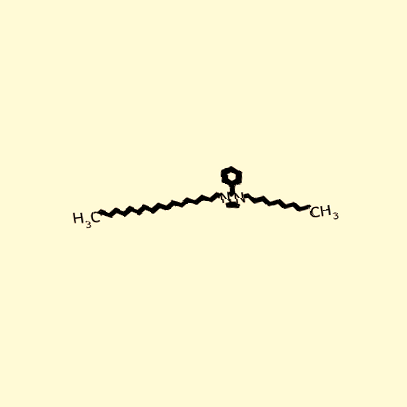 CCCCCCCCCCCCCCCCCCN1C=CN(CCCCCCCCCC)C1c1ccccc1